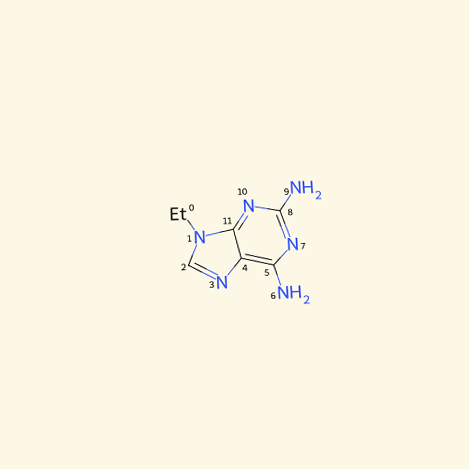 CCn1cnc2c(N)nc(N)nc21